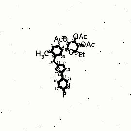 CC[C@H]1O[C@@H](c2ccc(C)c(Cc3ccc(-c4ccc(F)nc4)s3)c2)[C@H](OC(C)=O)[C@@H](OC(C)=O)[C@@H]1OC(C)=O